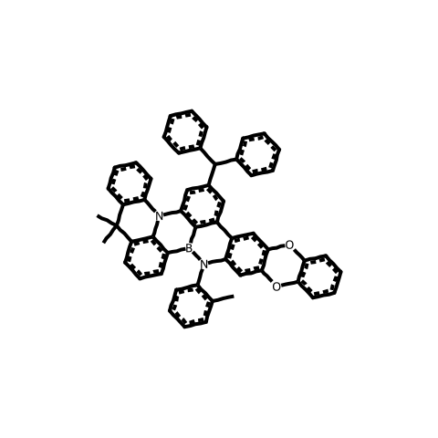 Cc1ccccc1N1B2c3cccc4c3N(c3ccccc3C4(C)C)c3cc(C(c4ccccc4)c4ccccc4)cc(c32)-c2cc3c(cc21)Oc1ccccc1O3